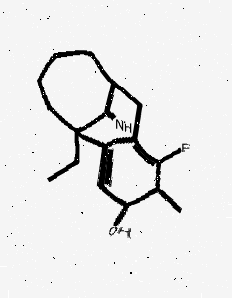 CCC12CCCCC(CC3=C(F)C(C)C(O)C=C31)C2N